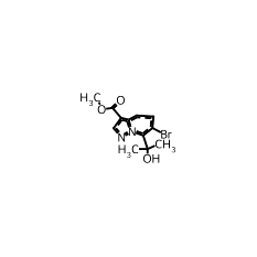 COC(=O)c1cnn2c(C(C)(C)O)c(Br)ccc12